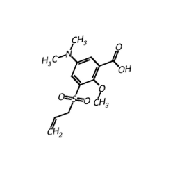 C=CCS(=O)(=O)c1cc(N(C)C)cc(C(=O)O)c1OC